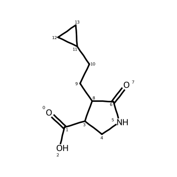 O=C(O)C1CNC(=O)C1CCC1CC1